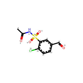 CC(=O)NS(=O)(=O)c1cc(C=O)ccc1Cl